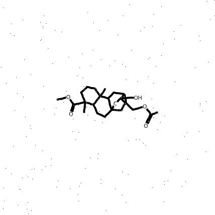 COC(=O)C1(C)CCCC2(C)C3CC4CCC3(CCC12)CC4(O)COC(C)=O